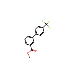 COC(=O)c1[c]ccc(-c2ccc(C(F)(F)F)cc2)c1